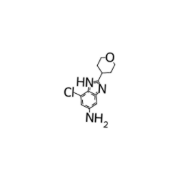 Nc1cc(Cl)c2[nH]c(C3CCOCC3)nc2c1